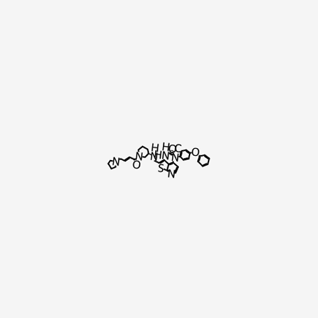 Cc1cc(Oc2ccccc2)ccc1N1C(=O)Nc2c(CN[C@@H]3CCCN(C(=O)/C=C/CN4CCCC4)C3)sc3nccc1c23